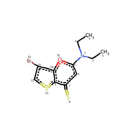 CCN(CC)c1cc(=S)c2scc(Br)c2o1